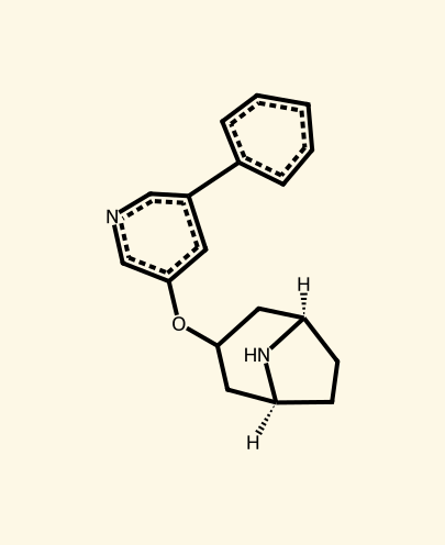 c1ccc(-c2cncc(OC3C[C@H]4CC[C@@H](C3)N4)c2)cc1